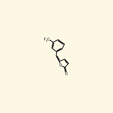 O=C1C=C/C(=C\c2cccc(C(F)(F)F)c2)O1